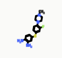 CN1CCN(c2ccc(Sc3ccc(N)c(N)c3)cc2F)CC1